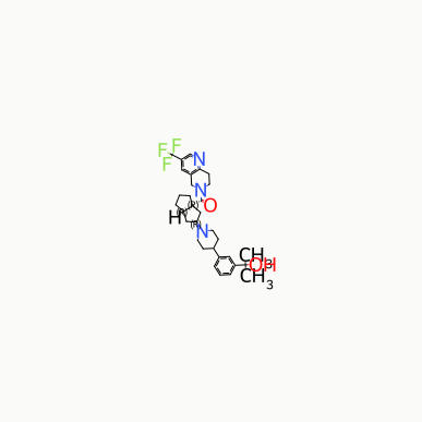 CC(C)(O)c1cccc(C2CCN([C@@H]3C[C@H]4CCC[C@@]4(C(=O)N4CCc5ncc(C(F)(F)F)cc5C4)C3)CC2)c1